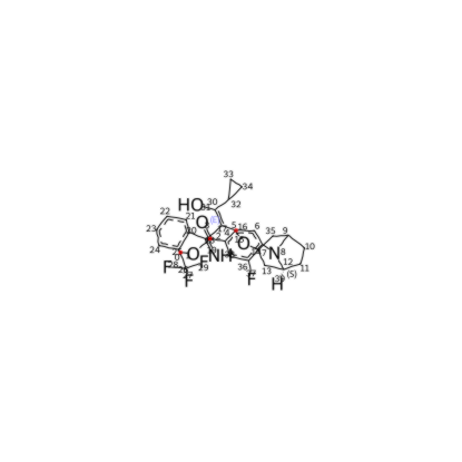 COC(=O)c1ccc(N2C3CC[C@H]2CC(OC/C(C(=N)c2ccccc2C(F)(F)F)=C(/O)C2CC2)C3)c(F)c1